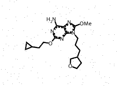 COc1nc2c(N)nc(OCCC3CC3)nc2n1CCCC1CCOC1